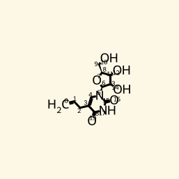 C=CCc1cn([C@H]2O[C@@H](CO)C(O)C2O)c(=O)[nH]c1=O